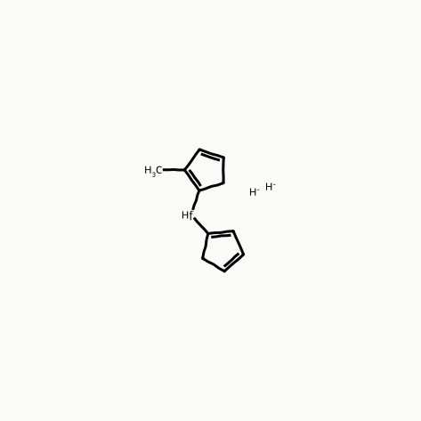 CC1=[C]([Hf][C]2=CC=CC2)CC=C1.[H-].[H-]